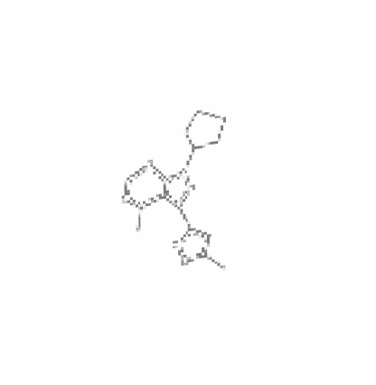 Cc1cc(-c2nn(C3CCCC3)c3ncnc(F)c23)on1